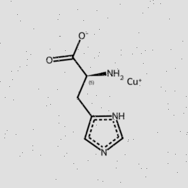 N[C@@H](Cc1cnc[nH]1)C(=O)[O-].[Cu+]